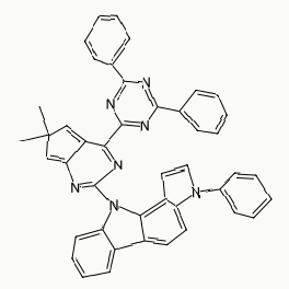 CC1(C)C=c2nc(-n3c4ccccc4c4ccc5c(ccn5-c5ccccc5)c43)nc(-c3nc(-c4ccccc4)nc(-c4ccccc4)n3)c2=C1